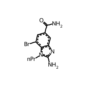 CCCn1c(N)nc2cc(C(N)=O)cc(Br)c21